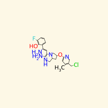 Cc1cc(OC2CC3CNC(N)=C(/C=C(\N)c4cccc(F)c4O)N3C2)ncc1CCl